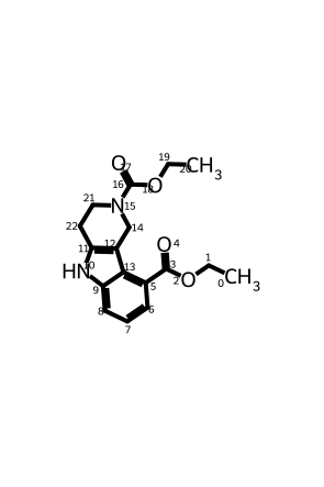 CCOC(=O)c1cccc2[nH]c3c(c12)CN(C(=O)OCC)CC3